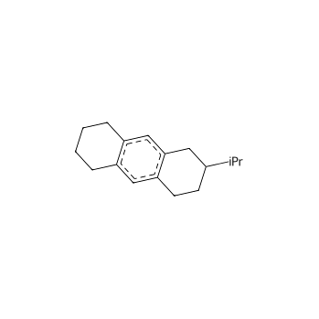 CC(C)C1CCc2cc3c(cc2C1)CCCC3